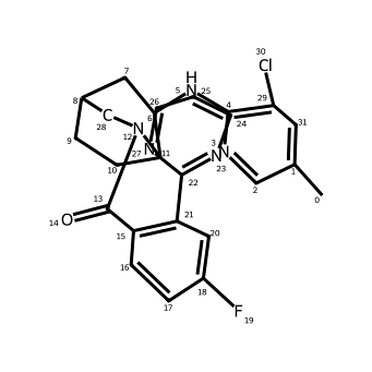 Cc1cnc(NC2CC3CCC2N(C(=O)c2ccc(F)cc2-c2ncccn2)C3)c(Cl)c1